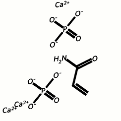 C=CC(N)=O.O=P([O-])([O-])[O-].O=P([O-])([O-])[O-].[Ca+2].[Ca+2].[Ca+2]